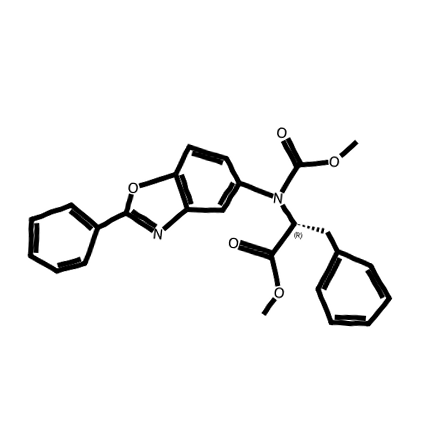 COC(=O)[C@@H](Cc1ccccc1)N(C(=O)OC)c1ccc2oc(-c3ccccc3)nc2c1